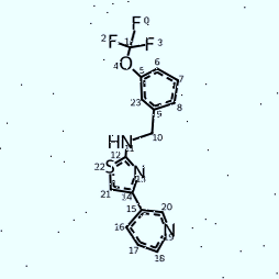 FC(F)(F)Oc1cccc(CNc2nc(-c3cccnc3)cs2)c1